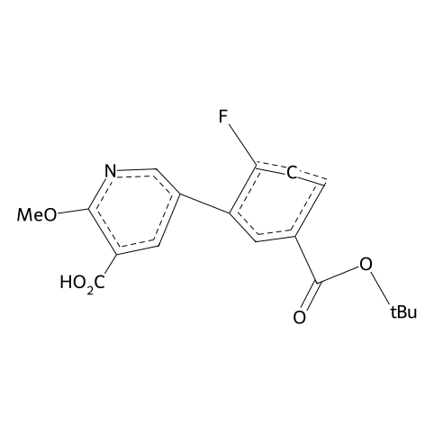 COc1ncc(-c2cc(C(=O)OC(C)(C)C)ccc2F)cc1C(=O)O